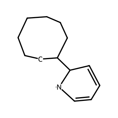 C1=C[N]C(C2CCCCCCC2)C=C1